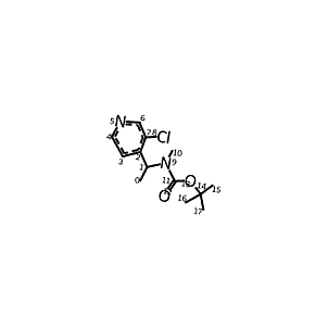 CC(c1ccncc1Cl)N(C)C(=O)OC(C)(C)C